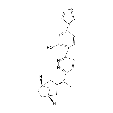 CN(c1ccc(-c2ccc(-n3ccnn3)cc2O)nn1)[C@H]1C[C@@H]2CC[C@@H](C2)C1